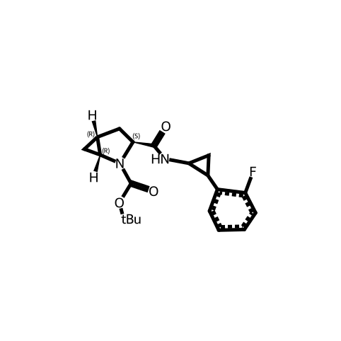 CC(C)(C)OC(=O)N1[C@@H]2C[C@@H]2C[C@H]1C(=O)NC1CC1c1ccccc1F